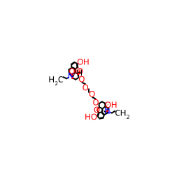 C=CCN1CC[C@]23c4c5ccc(O)c4OC2C(OCCOCCOCCOC2CC[C@@]4(O)C6Cc7ccc(O)c8c7[C@@]4(CCN6CC=C)[C@H]2O8)CC[C@@]3(O)C1C5